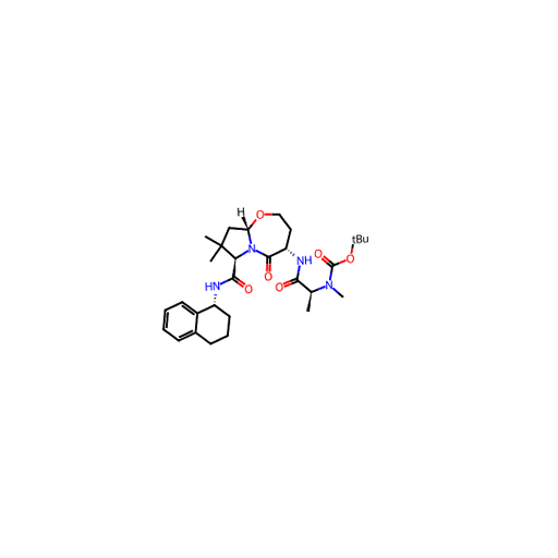 C[C@@H](C(=O)N[C@H]1CCO[C@H]2CC(C)(C)[C@H](C(=O)N[C@@H]3CCCc4ccccc43)N2C1=O)N(C)C(=O)OC(C)(C)C